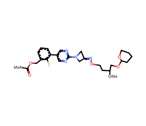 CNC(=O)OCc1cccc(-c2cnc(N3CC(=NOCCC(COC4CCCCO4)OC)C3)nc2)c1F